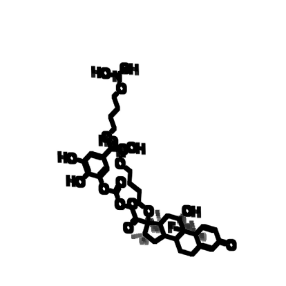 C[C@H]1CC2C3CCC4=CC(=O)C=C[C@]4(C)[C@@]3(F)[C@@H](O)C[C@]2(C)[C@@]1(OC(=O)CCCON(O)O)C(=O)COC(=O)Oc1cc(C(=O)OCCCCON(O)O)cc(O)c1O